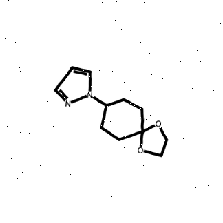 c1cnn(C2CCC3(CC2)OCCO3)c1